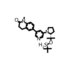 CN1C(=O)CCc2cc(-c3cncc(N4CCC[C@@H]4C(C)(C)O[SiH2]C(C)(C)C)c3)ccc21